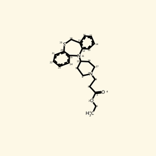 CCOC(=O)CCN1CCC(N2c3ccccc3CSc3ccccc32)CC1